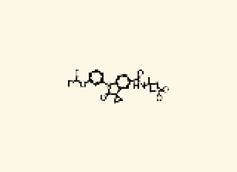 CC1(NC(=O)c2ccc3c(c2)C2(CC2)C(=O)N3c2cccc(OC(F)F)c2)CS(=O)(=O)C1